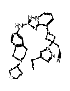 CCc1cnn(C2(CC#N)CN(c3cccn4nc(Nc5ccc6c(c5)CCN(C5CCOC5)C6)nc34)C2)c1